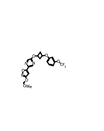 COCOc1cc(-c2cnc(OC3CC(Oc4cccc(OC(F)(F)F)c4)C3)cn2)on1